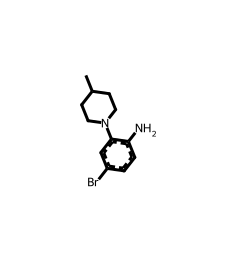 CC1CCN(c2cc(Br)ccc2N)CC1